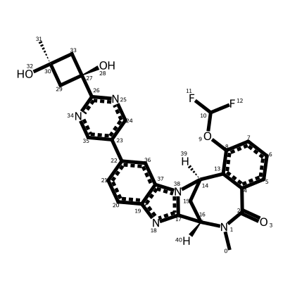 CN1C(=O)c2cccc(OC(F)F)c2[C@H]2C[C@H]1c1nc3ccc(-c4cnc([C@]5(O)C[C@@](C)(O)C5)nc4)cc3n12